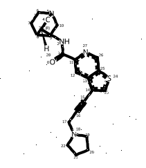 O=C(N[C@H]1CN2CCC1CC2)c1cc2c(C#CCN3CCCC3)csc2cn1